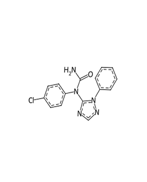 NC(=O)N(c1ccc(Cl)cc1)c1ncnn1-c1ccccc1